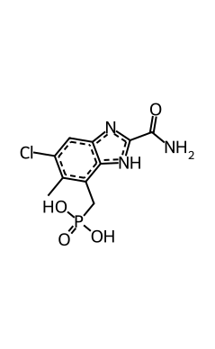 Cc1c(Cl)cc2nc(C(N)=O)[nH]c2c1CP(=O)(O)O